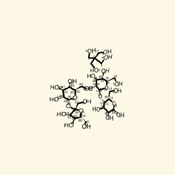 OCC(CO)(CO)CO.OC[C@H]1O[C@@H](O[C@H]2[C@H](O)[C@@H](O)[C@H](O)O[C@@H]2CO)[C@H](O)[C@@H](O)[C@H]1O.OC[C@H]1O[C@@](CO)(O[C@H]2O[C@H](CO)[C@@H](O)[C@H](O)[C@H]2O)[C@@H](O)[C@@H]1O